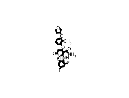 Cc1c(Oc2cc(=O)n(C)c(Nc3ccc(I)cc3F)c2C(N)=O)cccc1OC1CCOC1